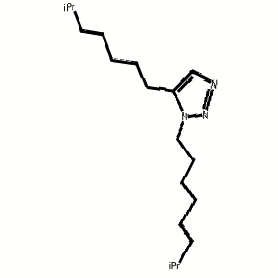 CC(C)CCCCCCn1nncc1CCCCCC(C)C